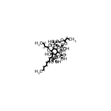 CCCCCCCCC1(O)C(OC(=O)CCC)C(OP(=O)(O)OCOC(=O)CC)C(OP(=O)(O)O)C(OP(=O)(O)O)C1OP(=O)(O)O